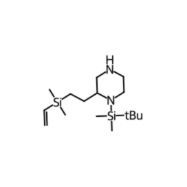 C=C[Si](C)(C)CCC1CNCCN1[Si](C)(C)C(C)(C)C